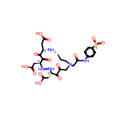 N[C@@H](CC(=O)O)C(=O)C(=O)[C@H](CC(=O)O)NN[C@@H](CC(=O)O)C(=O)C(=O)CN(CCI)CC(=O)Nc1ccc([SH](=O)=O)cc1